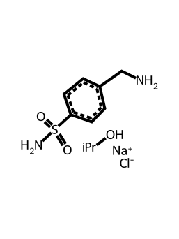 CC(C)O.NCc1ccc(S(N)(=O)=O)cc1.[Cl-].[Na+]